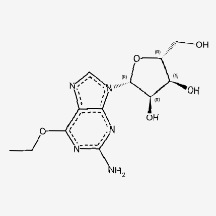 CCOc1nc(N)nc2c1ncn2[C@@H]1O[C@H](CO)[C@@H](O)[C@H]1O